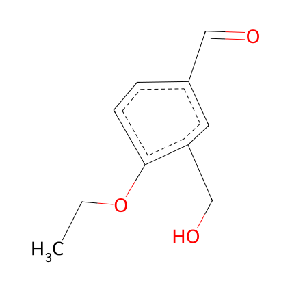 CCOc1ccc(C=O)cc1CO